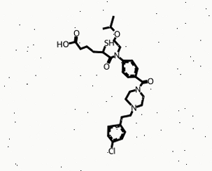 CC(C)OCCN(C(=O)C(S)CCCC(=O)O)c1ccc(C(=O)N2CCN(CCc3ccc(Cl)cc3)CC2)cc1